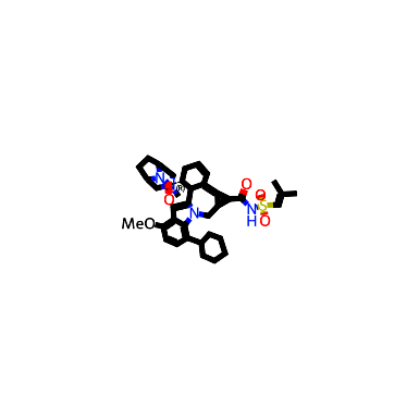 COc1ccc(C2CCCCC2)c2c1cc1n2CC2=C(C(=O)NS(=O)(=O)C=C(C)C)C2=C2C=CC[C@@H](C(=O)N3C4CCC3CN(C)C4)C21